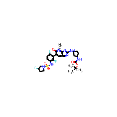 Cn1c(=O)c(-c2c(F)ccc(NS(=O)(=O)N3CC[C@@H](F)C3)c2F)cc2cnc(N[C@H]3CC[C@H](NC(=O)OC(C)(C)C)C3)nc21